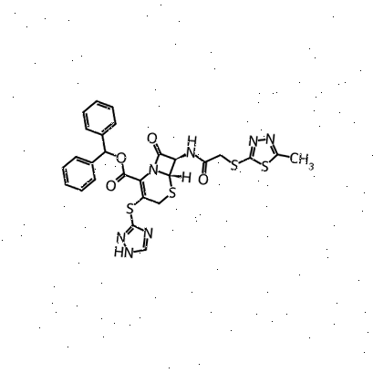 Cc1nnc(SCC(=O)N[C@@H]2C(=O)N3C(C(=O)OC(c4ccccc4)c4ccccc4)=C(Sc4nc[nH]n4)CS[C@@H]23)s1